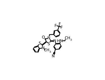 CCNc1ccc(C#N)cc1N=C1SC(=C2Sc3ccccc3N2C)C(=O)N1Cc1cccc(C(F)(F)F)c1